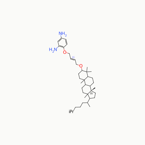 CC(C)CCCC(C)C1CC[C@@]2(C)C3CCC4C(C)(C)C(OC/C=C/COc5ccc(N)cc5N)CCC4(C)C3CCC12C